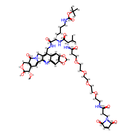 CO[C@@H]1C(=O)OCc2c1cc1n(c2=O)Cc2c-1nc1cc3c(cc1c2CNC(=O)[C@H](CCCCNC(=O)OC(C)(C)C)NC(=O)[C@@H](NC(=O)CCOCCOCCOCCOCCNC(=O)CCN1C(=O)C=CC1=O)C(C)C)OCO3